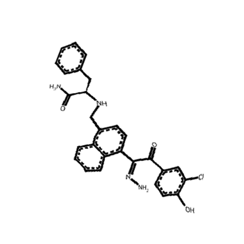 NN=C(C(=O)c1ccc(O)c(Cl)c1)c1ccc(CN[C@H](Cc2ccccc2)C(N)=O)c2ccccc12